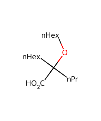 CCCCCCOC(CCC)(CCCCCC)C(=O)O